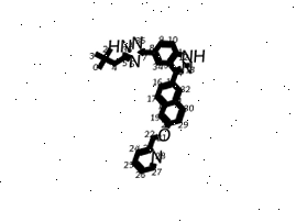 CC(C)(C)Cc1nc(-c2ccc3[nH]nc(-c4ccc5cc(OCc6ccccn6)ccc5c4)c3c2)n[nH]1